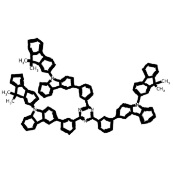 CC1(C)c2ccccc2-c2ccc(-n3c4ccccc4c4cc(-c5cccc(-c6nc(-c7cccc(-c8ccc9c(c8)c8ccccc8n9-c8ccc9c(c8)C(C)(C)c8ccccc8-9)c7)nc(-c7cccc(-c8ccc9c(c8)c8ccccc8n9-c8ccc9c(c8)C(C)(C)c8ccccc8-9)c7)n6)c5)ccc43)cc21